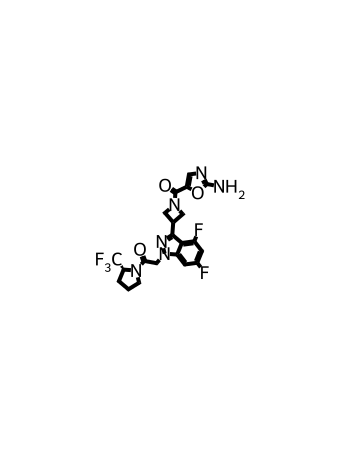 Nc1ncc(C(=O)N2CC(c3nn(CC(=O)N4CCC[C@H]4C(F)(F)F)c4cc(F)cc(F)c34)C2)o1